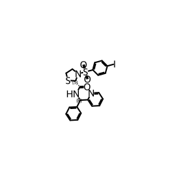 O=C(N[C@H](c1ccccc1)c1ccccn1)[C@@H]1SCCN1S(=O)(=O)c1ccc(I)cc1